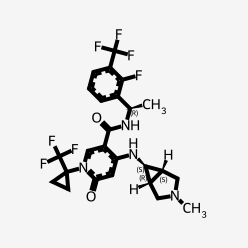 C[C@@H](NC(=O)c1cn(C2(C(F)(F)F)CC2)c(=O)cc1N[C@H]1[C@@H]2CN(C)C[C@@H]21)c1cccc(C(F)(F)F)c1F